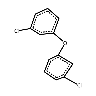 Clc1cccc(Oc2cccc(Cl)c2)c1